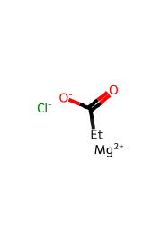 CCC(=O)[O-].[Cl-].[Mg+2]